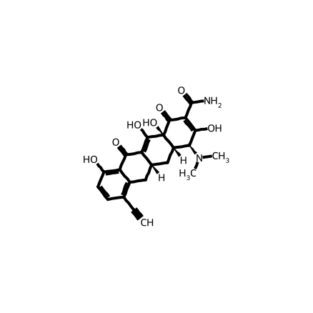 C#Cc1ccc(O)c2c1C[C@H]1C[C@H]3[C@H](N(C)C)C(O)=C(C(N)=O)C(=O)[C@@]3(O)C(O)=C1C2=O